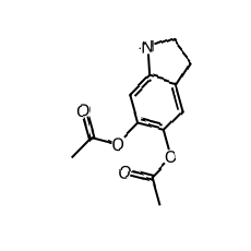 CC(=O)Oc1cc2c(cc1OC(C)=O)[N]CC2